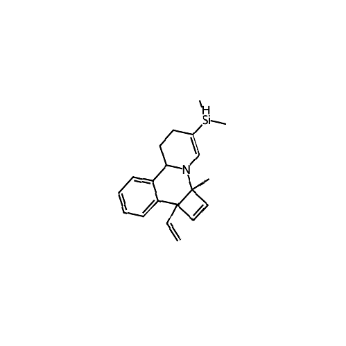 C=CC12C=CC1(C)N1C=C([SiH](C)C)CCC1c1ccccc12